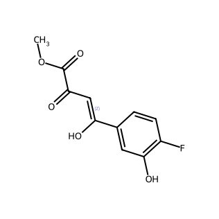 COC(=O)C(=O)/C=C(\O)c1ccc(F)c(O)c1